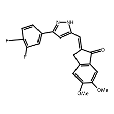 COc1cc2c(cc1OC)C(=O)/C(=C/c1cc(-c3ccc(F)c(F)c3)n[nH]1)C2